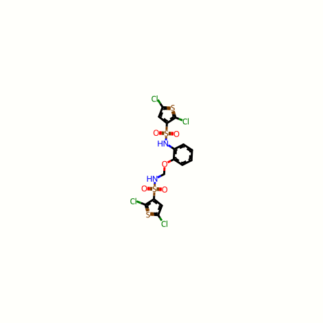 O=S(=O)(NCOc1ccccc1NS(=O)(=O)c1cc(Cl)sc1Cl)c1cc(Cl)sc1Cl